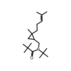 CC(C)=CCCC1(C)CC1CN(C(=O)C(C)(C)C)C(C)(C)C